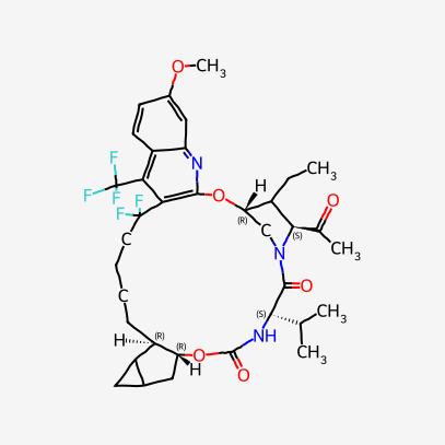 CCC1[C@@H]2CN(C(=O)[C@H](C(C)C)NC(=O)O[C@@H]3CC4CC4[C@H]3CCCCC(F)(F)c3c(nc4cc(OC)ccc4c3C(F)(F)F)O2)[C@@H]1C(C)=O